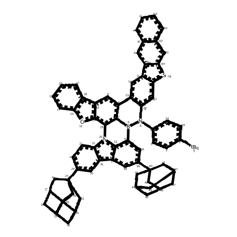 CC(C)(C)c1ccc(N2B3c4c(cc5c(oc6ccccc65)c4-n4c5ccc(C67CC8CC9CC(C6)C98C7)cc5c5cc(C67CC8CC(CC(C8)C6)C7)cc3c54)-c3cc4c(cc32)sc2cc3ccccc3cc24)cc1